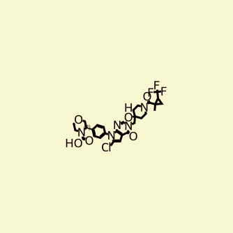 CC1(C(=O)N2CCC(O)(Cn3cnc4c(cc(Cl)n4-c4ccc([C@@H]5COCCN5C(=O)O)cc4)c3=O)CC2)CC1C(F)(F)F